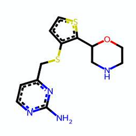 Nc1nccc(CSc2ccsc2C2CNCCO2)n1